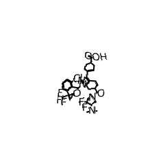 CN(C)C1CN(C(=O)C2CCc3c(C4=CCC(C(=O)O)CC4)nn(C(=O)c4c(Cl)cccc4C4(C(F)(F)F)CC4)c3C2)CC1(F)F